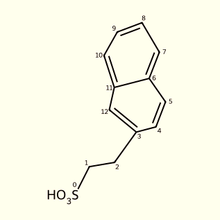 O=S(=O)(O)CCc1ccc2ccccc2c1